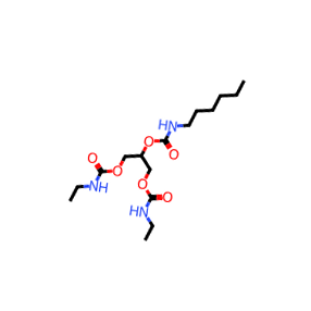 CCCCCCNC(=O)OC(COC(=O)NCC)COC(=O)NCC